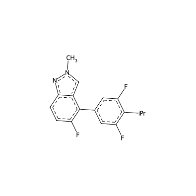 CC(C)c1c(F)cc(-c2c(F)ccc3nn(C)cc23)cc1F